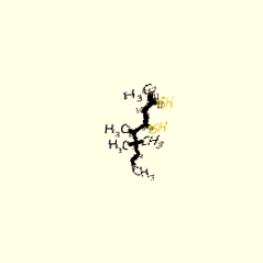 CCCC(C)(C)C(C)C(S)CC(C)S